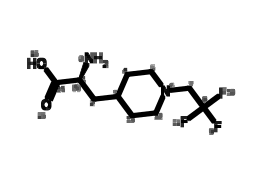 N[C@@H](CC1CCN(CC(F)(F)F)CC1)C(=O)O